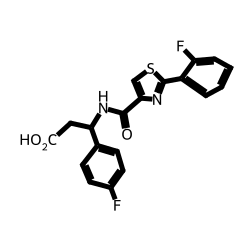 O=C(O)CC(NC(=O)c1csc(-c2ccccc2F)n1)c1ccc(F)cc1